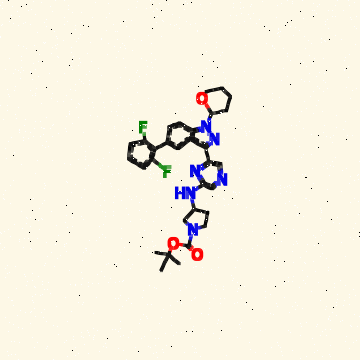 CC(C)(C)OC(=O)N1CCC(Nc2cncc(-c3nn(C4CCCCO4)c4ccc(-c5c(F)cccc5F)cc34)n2)C1